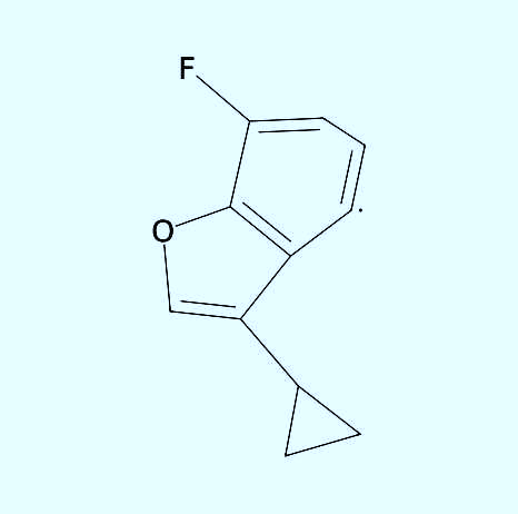 Fc1cc[c]c2c(C3CC3)coc12